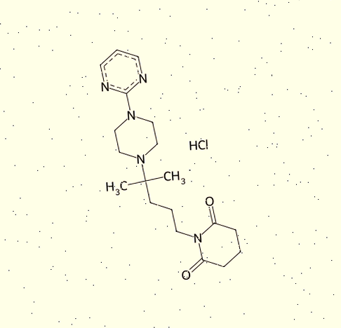 CC(C)(CCCN1C(=O)CCCC1=O)N1CCN(c2ncccn2)CC1.Cl